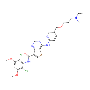 CCN(CC)CCCOCc1ccc(Nc2ncnc3c(C(=O)Nc4c(Cl)c(OC)cc(OC)c4Cl)csc23)nc1